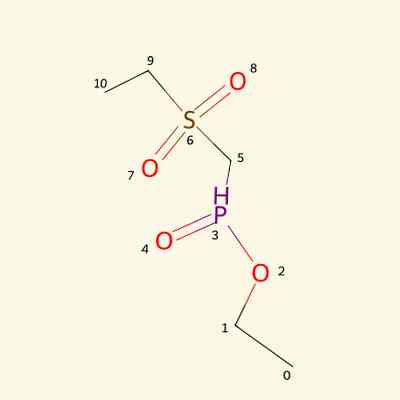 CCO[PH](=O)CS(=O)(=O)CC